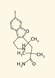 CC(C)(CC1(C)NCCc2c1oc1cc(I)ccc21)C(N)=O